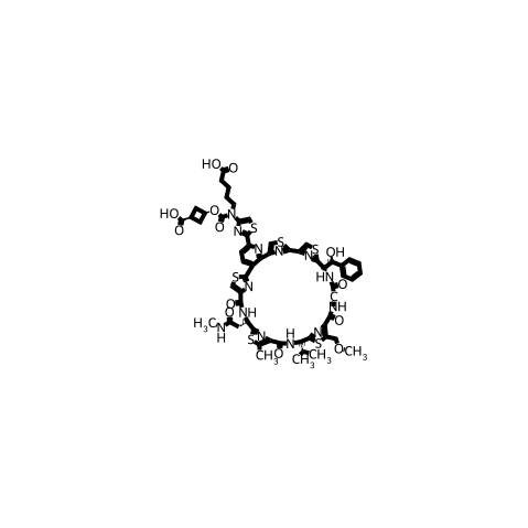 CNC(=O)C[C@@H]1NC(=O)c2csc(n2)-c2ccc(-c3nc(N(CCCCC(=O)O)C(=O)O[C@H]4C[C@H](C(=O)O)C4)cs3)nc2-c2csc(n2)-c2csc(n2)[C@H]([C@@H](O)c2ccccc2)NC(=O)CNC(=O)c2nc(sc2COC)[C@H](C(C)C)NC(=O)c2nc1sc2C